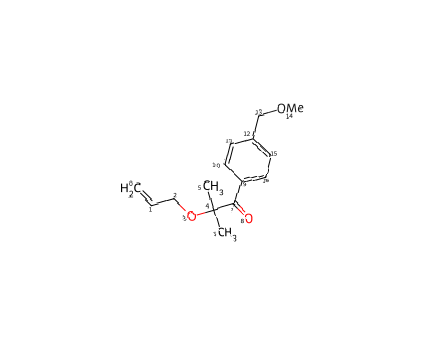 C=CCOC(C)(C)C(=O)c1ccc(COC)cc1